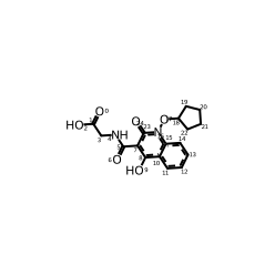 O=C(O)CNC(=O)c1c(O)c2ccccc2n(OC2CCCC2)c1=O